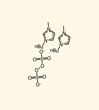 CCCC[n+]1ccn(C)c1.CCCC[n+]1ccn(C)c1.O=S(=O)([O-])OOS(=O)(=O)[O-]